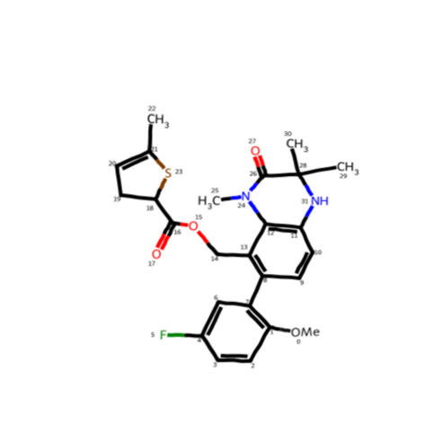 COc1ccc(F)cc1-c1ccc2c(c1COC(=O)C1CC=C(C)S1)N(C)C(=O)C(C)(C)N2